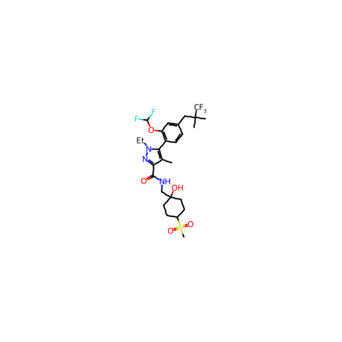 CCn1nc(C(=O)NCC2(O)CCC(S(C)(=O)=O)CC2)c(C)c1-c1ccc(CC(C)(C)C(F)(F)F)cc1OC(F)F